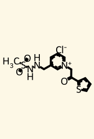 CS(=O)(=O)NNCc1ccc[n+](CC(=O)c2cccs2)c1.[Cl-]